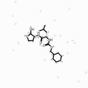 CC(C)C[C@H](NC(=O)OCC1CCCCC1)C(=O)N[C@H]1CCOC1O